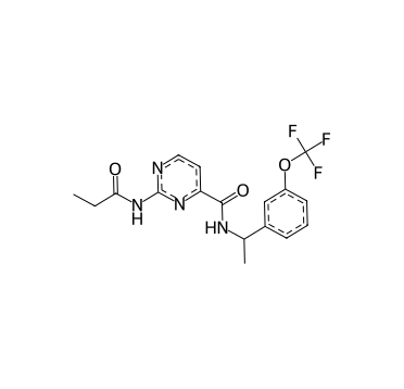 CCC(=O)Nc1nccc(C(=O)NC(C)c2cccc(OC(F)(F)F)c2)n1